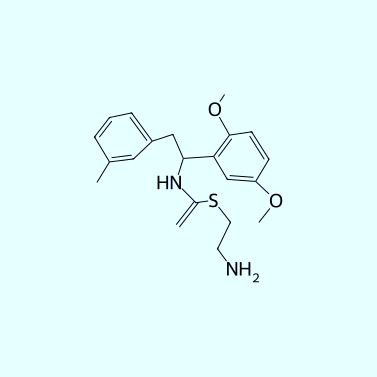 C=C(NC(Cc1cccc(C)c1)c1cc(OC)ccc1OC)SCCN